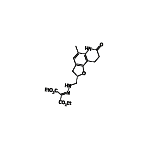 CCOC(=O)C(=NNCC1Cc2cc(C)c3c(c2O1)CCC(=O)N3)C(=O)OCC